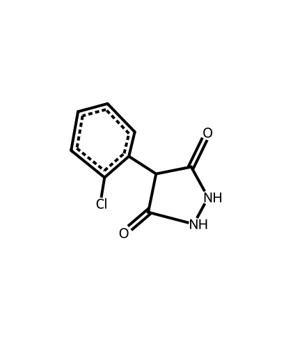 O=C1NNC(=O)C1c1ccccc1Cl